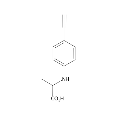 C#Cc1ccc(NC(C)C(=O)O)cc1